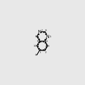 Cc1ccc2ncn[c]c2c1